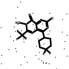 Cn1c(C(F)(F)F)nc2c(C3CCC(F)(F)CC3)nc(Cl)nc2c1=O